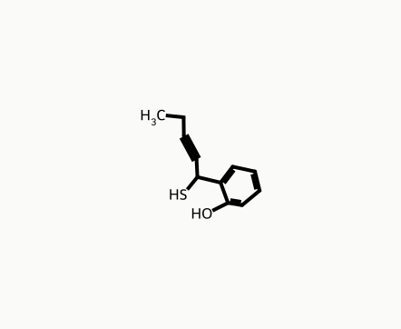 CCC#CC(S)c1ccccc1O